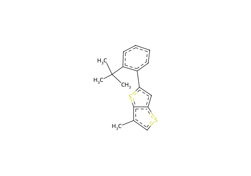 Cc1csc2cc(-c3ccccc3C(C)(C)C)sc12